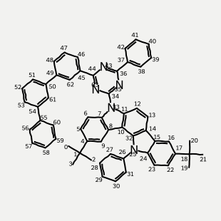 CC(C)(C)c1ccc2c(c1)c1c(ccc3c4cc(C(C)(C)C)ccc4n(-c4ccccc4)c31)n2-c1nc(-c2ccccc2)nc(-c2cccc(-c3cccc(-c4ccccc4)c3)c2)n1